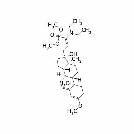 CCN(CC)C(=CC[C@]1(O)CC[C@H]2[C@@H]3CC=C4C=C(OC)CC[C@]4(C)[C@H]3CC[C@@]21C)P(=O)(OC)OC